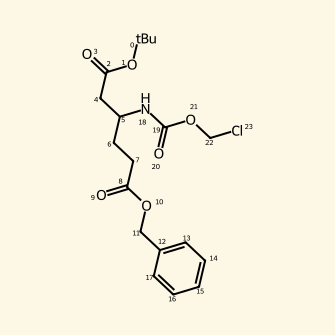 CC(C)(C)OC(=O)CC(CCC(=O)OCc1ccccc1)NC(=O)OCCl